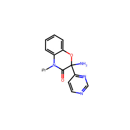 CC(C)N1C(=O)C(N)(c2ccncn2)Oc2ccccc21